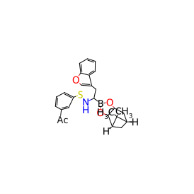 CC(=O)c1cccc(SNC(Cc2coc3ccccc23)B2OC3C[C@@H]4C[C@H](C3O2)C4(C)C)c1